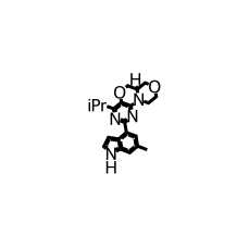 Cc1cc(-c2nc(C(C)C)c3c(n2)N2CCOC[C@H]2CO3)c2cc[nH]c2c1